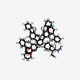 C=Cc1c(/C=C\C)oc2c(N(c3ccccc3-c3ccccc3)c3cc4c5ccccc5oc4c4c3c3cccc5c6c(N(c7ccccc7-c7ccccc7)c7cccc8c7oc7ccccc78)cc7c8ccccc8oc7c6n4c35)cccc12